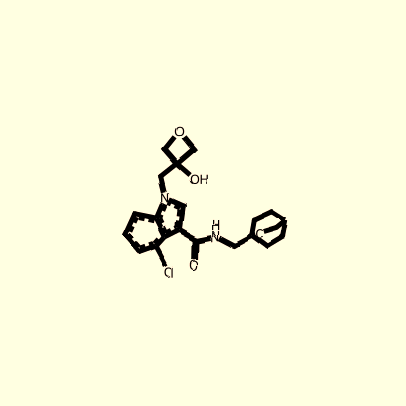 O=C(NCC12CCC(CC1)CC2)c1cn(CC2(O)COC2)c2cccc(Cl)c12